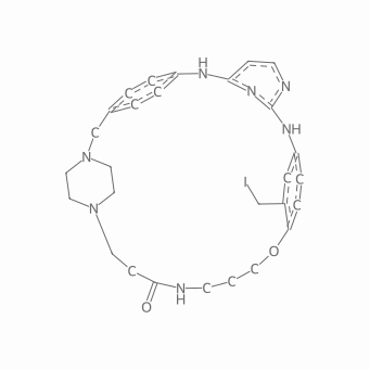 O=C1CCN2CCN(CC2)Cc2ccc(cc2)Nc2ccnc(n2)Nc2ccc(c(CI)c2)OCCCN1